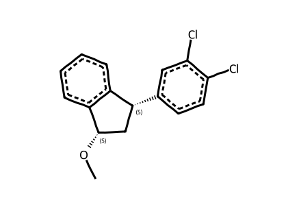 CO[C@H]1C[C@@H](c2ccc(Cl)c(Cl)c2)c2ccccc21